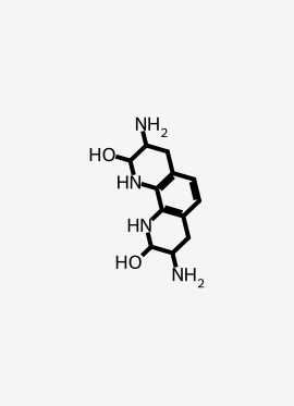 NC1Cc2ccc3c(c2NC1O)NC(O)C(N)C3